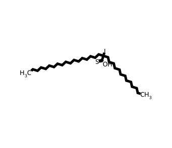 CCCCCCCCCCCCCCCCCCC(I)(CCCCCCCCCCCCC)C(O)=S